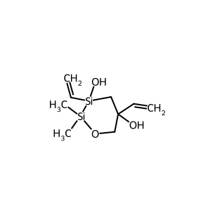 C=CC1(O)CO[Si](C)(C)[Si](O)(C=C)C1